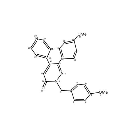 COc1ccc(Cn2nc(-c3ccc(OC)cc3)c(-c3ccncc3)cc2=O)cc1